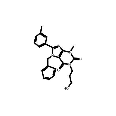 Cc1cccc(-c2nc3c(c(=O)n(CCCO)c(=O)n3C)n2Cc2ccccc2)c1